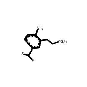 O=C(O)CCc1cc(C(F)F)ccc1C(F)(F)F